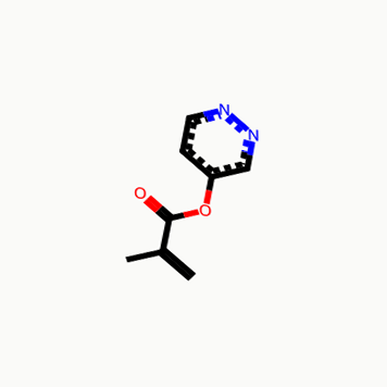 C=C(C)C(=O)Oc1ccnnc1